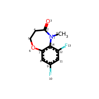 CN1C(=O)CCOc2cc(F)cc(F)c21